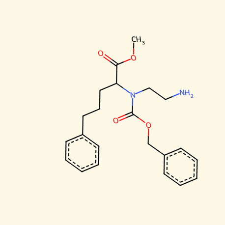 COC(=O)C(CCCc1ccccc1)N(CCN)C(=O)OCc1ccccc1